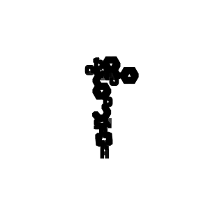 COC(=O)C(Cc1ccc(OCCc2nc(N3CCNCC3)sc2C)cc1)Nc1ccccc1C(=O)c1ccccc1